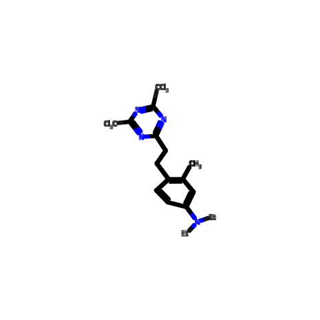 CCN(CC)c1ccc(CCc2nc(C(Cl)(Cl)Cl)nc(C(Cl)(Cl)Cl)n2)c(C)c1